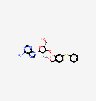 CO[C@H]1C(OB2OCc3ccc(Sc4ccccc4)cc32)[C@@H](CO)O[C@H]1n1cnc2c(N)ncnc21